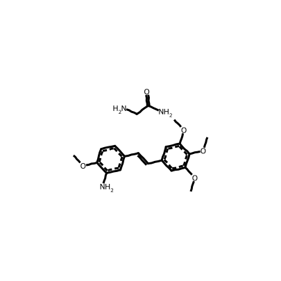 COc1ccc(C=Cc2cc(OC)c(OC)c(OC)c2)cc1N.NCC(N)=O